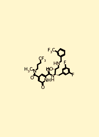 CN(CCCC(F)(F)F)C(=O)c1cc(C(=O)N[C@@H](Cc2cc(F)cc(F)c2)[C@H](O)CNCc2cccc(C(F)(F)F)c2)[nH]c(=O)c1